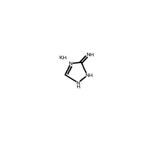 N=c1nc[nH][nH]1.[KH]